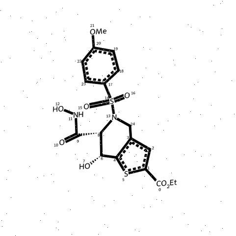 CCOC(=O)c1cc2c(s1)[C@H](O)[C@H](C(=O)NO)N(S(=O)(=O)c1ccc(OC)cc1)C2